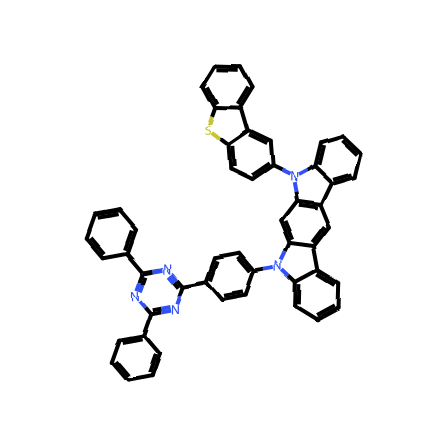 c1ccc(-c2nc(-c3ccccc3)nc(-c3ccc(-n4c5ccccc5c5cc6c7ccccc7n(-c7ccc8sc9ccccc9c8c7)c6cc54)cc3)n2)cc1